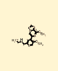 CCNCc1cc(-c2cn3ncnc3c(OC)n2)c(OC)cn1